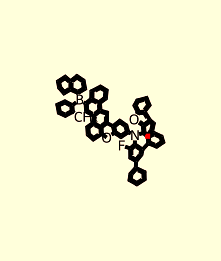 Cc1ccccc1B(c1cccc2ccccc12)c1cc2c3cccc4c3c(cc2c2ccccc12)-c1ccc(N(c2c(F)cc(-c3ccccc3)cc2-c2ccccc2)c2cccc3c2oc2ccccc23)cc1O4